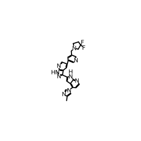 Cc1cn(-c2ccnc3[nH]c(-c4n[nH]c5ncc(-c6cncc(CN7CCC(F)(F)C7)c6)cc45)cc23)cn1